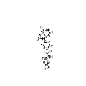 Cc1cc2c(nc(C)n2-c2ccc(CCNC(=O)OC(C)(C)C)cc2)c(C)n1